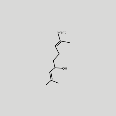 CCCCC/C(C)=C/CCC(O)C=C(C)C